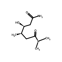 C[C@H](CC(=O)N(C)C)[C@@H](O)CC(N)=O